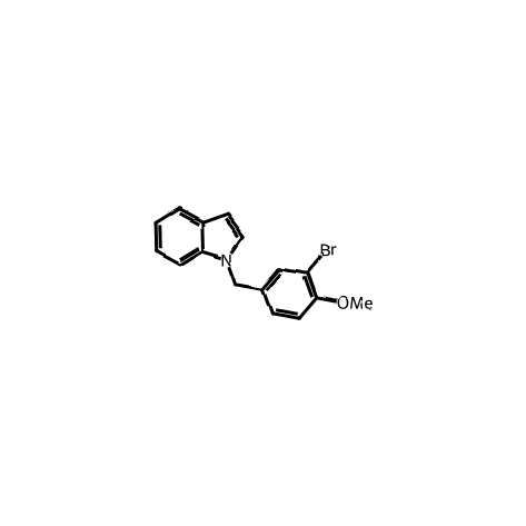 COc1ccc(Cn2ccc3ccccc32)cc1Br